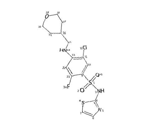 O=S(=O)(Nc1nccs1)c1cc(Cl)c(NCC2CCOCC2)cc1F